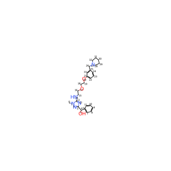 Cn1nc(C(O)c2ccccc2)nc1NCCOCCOc1cccc(CN2CCCCC2)c1